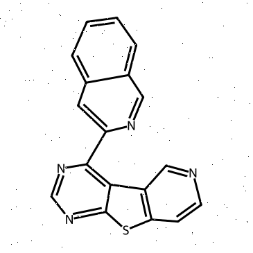 c1ccc2cc(-c3ncnc4sc5ccncc5c34)ncc2c1